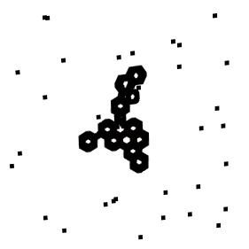 c1ccc(-c2ccc(N(c3ccc4c(c3)oc3c5ccccc5ccc43)c3ccccc3-c3ccccc3-c3cc4ccccc4c4ccccc34)cc2)cc1